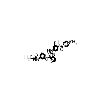 C=CC(=O)Nc1cccc(Oc2nc(Nc3ccc(NC(=O)N4CCN(C)CC4)c(F)c3)nc3ccsc23)c1